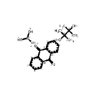 CC(C)(O)C(C)(C)O.O=C1c2ccccc2C(=O)c2ccccc21.OB(O)O